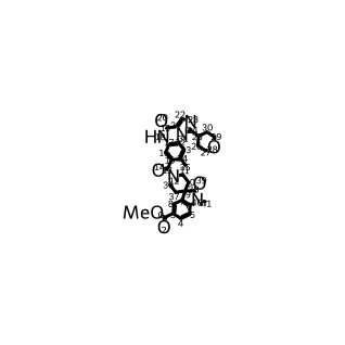 COC(=O)c1ccc2c(c1)C1(CCN(C(=O)c3cc4[nH]c(=O)c5cnc(C6CCOCC6)n5c4cc3C)CC1)C(=O)N2C